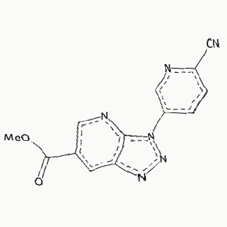 COC(=O)c1cnc2c(c1)nnn2-c1ccc(C#N)nc1